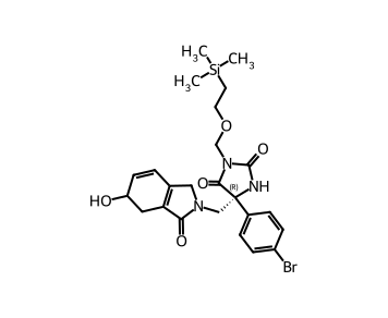 C[Si](C)(C)CCOCN1C(=O)N[C@@](CN2CC3=C(CC(O)C=C3)C2=O)(c2ccc(Br)cc2)C1=O